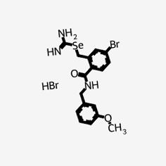 Br.COc1cccc(CNC(=O)c2ccc(Br)cc2C[Se]C(=N)N)c1